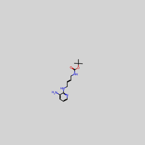 CC(C)(C)OC(=O)NCC=CCNc1ncccc1N